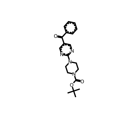 CC(C)(C)OC(=O)N1CCN(c2ncc(C(=O)c3ccccc3)cn2)CC1